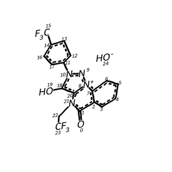 O=c1c2ccccc2[n+]2nn(-c3ccc(C(F)(F)F)cc3)c(O)c2n1CC(F)(F)F.[OH-]